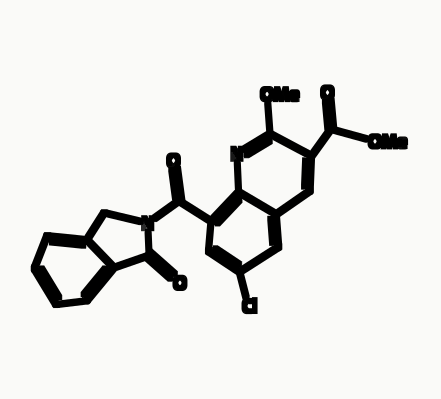 COC(=O)c1cc2cc(Cl)cc(C(=O)N3Cc4ccccc4C3=O)c2nc1OC